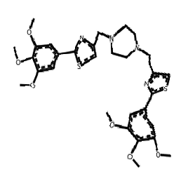 COc1cc(-c2nc(CN3CCN(Cc4csc(-c5cc(OC)c(OC)c(OC)c5)n4)CC3)cs2)cc(OC)c1OC